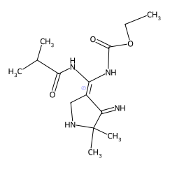 CCOC(=O)N/C(NC(=O)C(C)C)=C1/CNC(C)(C)C1=N